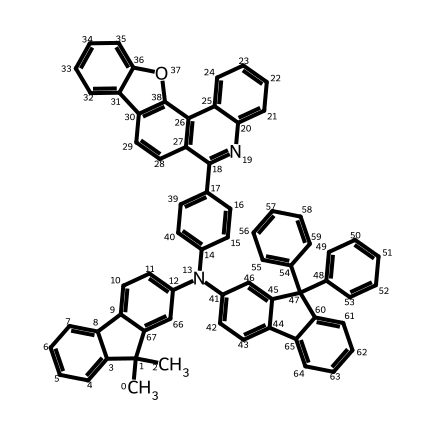 CC1(C)c2ccccc2-c2ccc(N(c3ccc(-c4nc5ccccc5c5c4ccc4c6ccccc6oc45)cc3)c3ccc4c(c3)C(c3ccccc3)(c3ccccc3)c3ccccc3-4)cc21